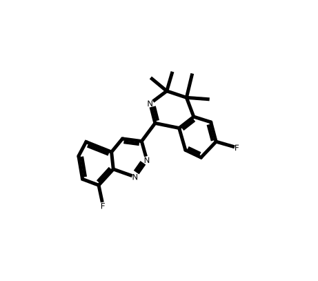 CC1(C)N=C(c2cc3cccc(F)c3nn2)c2ccc(F)cc2C1(C)C